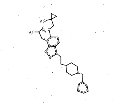 CN(C)Cc1c(OCC2(C)CC2)ccc2c(CCC3CCN(Cc4ccccc4)CC3)noc12